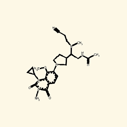 COc1c(N2CCC(C(CNC(C)=O)N(C)CCC#N)C2)ccc2c(=O)n(N)c(=O)n(C3CC3)c12